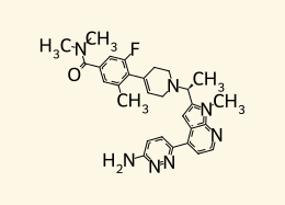 Cc1cc(C(=O)N(C)C)cc(F)c1C1=CCN([C@@H](C)c2cc3c(-c4ccc(N)nn4)ccnc3n2C)CC1